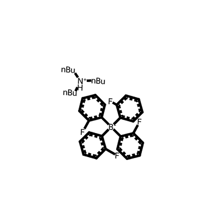 CCCC[NH+](CCCC)CCCC.Fc1ccccc1[B-](c1ccccc1F)(c1ccccc1F)c1ccccc1F